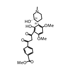 COC(=O)c1ccc(C(=O)CC(=O)c2c(OC)cc(OC)c([C@H]3CCN(C)C[C@H]3O)c2O)cc1